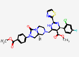 COC(=O)C1=C(CN2CCN3C(=O)N(c4ccc(C(=O)OC)cc4)C[C@@H]3C2)NC(c2nccs2)=N[C@H]1c1ccc(F)cc1Cl